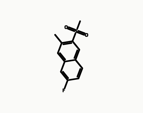 Cc1cc2cc(F)ccc2cc1S(C)(=O)=O